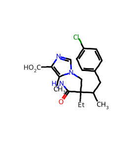 CCC(Cn1cnc(C(=O)O)c1C)(C(N)=O)C(C)Cc1ccc(Cl)cc1